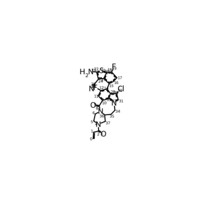 C=CC(=O)N1CCN2C(=O)c3cc(F)c(-c4ccc(F)c5sc(N)c(C#N)c45)c4c(Cl)cn(c34)CCC2C1